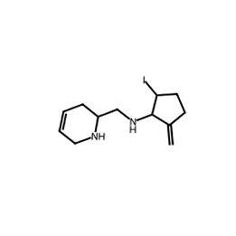 C=C1CCC(I)C1NCC1CC=CCN1